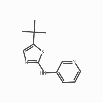 CC(C)(C)c1cnc(Nc2cccnc2)s1